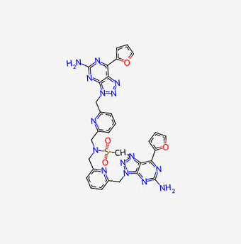 CS(=O)(=O)N(Cc1cccc(Cn2nnc3c(-c4ccco4)nc(N)nc32)n1)Cc1cccc(Cn2nnc3c(-c4ccco4)nc(N)nc32)n1